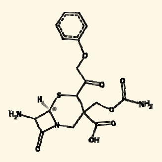 NC(=O)OCC1(C(=O)O)CN2C(=O)C(N)[C@H]2SC1C(=O)COc1ccccc1